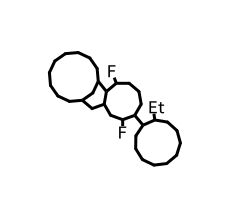 CCC1CCCCCCCCCC1C1CCCC(F)C2C3CCCCCCCCCC(C3)CC2CC1F